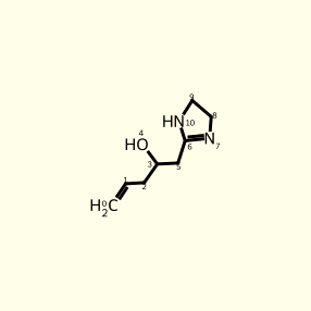 C=CCC(O)CC1=NCCN1